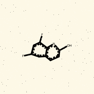 Oc1ccc2cc(F)cc(F)c2n1